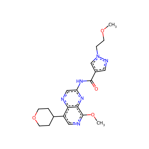 COCCn1cc(C(=O)Nc2cnc3c(C4CCOCC4)cnc(OC)c3n2)cn1